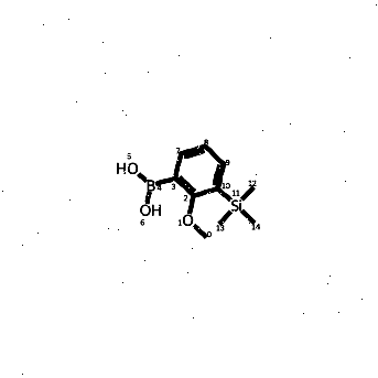 COc1c(B(O)O)cccc1[Si](C)(C)C